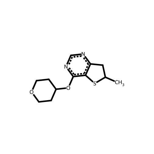 CC1Cc2ncnc(OC3CCOCC3)c2S1